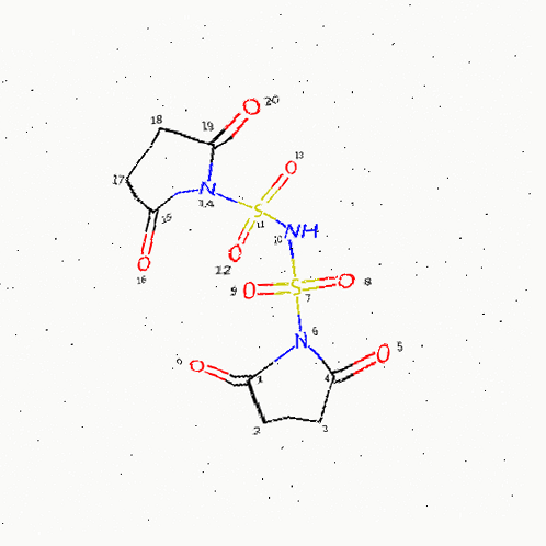 O=C1CCC(=O)N1S(=O)(=O)NS(=O)(=O)N1C(=O)CCC1=O